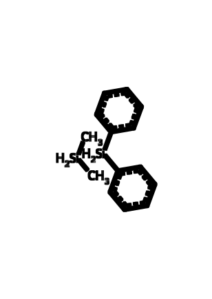 C[SiH2]C.c1ccc([SiH2]c2ccccc2)cc1